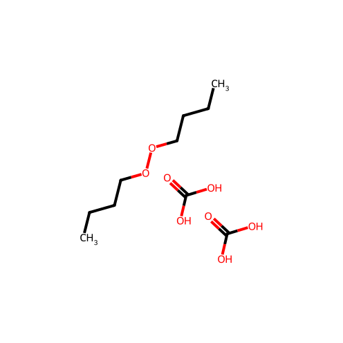 CCCCOOCCCC.O=C(O)O.O=C(O)O